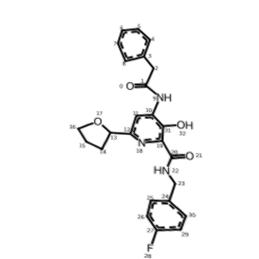 O=C(Cc1ccccc1)Nc1cc(C2CCCO2)nc(C(=O)NCc2ccc(F)cc2)c1O